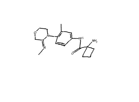 CN=C1COCCN1c1ccc(NC(=O)C2(N)CCC2)cc1C